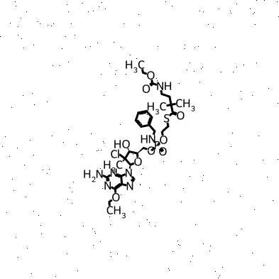 CCOC(=O)NCCC(C)(C)C(=O)SCCO[P@](=O)(NCc1ccccc1)OC[C@H]1O[C@@H](n2cnc3c(OCC)nc(N)nc32)[C@](C)(Cl)[C@@H]1O